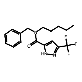 CCCCCN(Cc1ccccc1)C(=O)c1cc(C(F)(F)F)n[nH]1